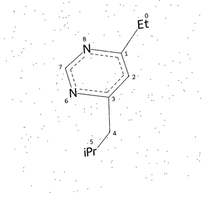 CCc1cc(CC(C)C)ncn1